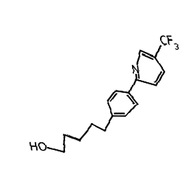 OCCCCCc1ccc(-c2ccc(C(F)(F)F)cn2)cc1